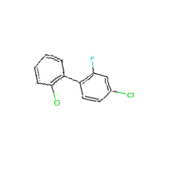 Fc1cc(Cl)ccc1-c1ccc[c]c1Cl